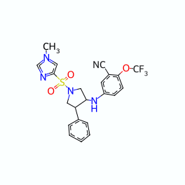 Cn1cnc(S(=O)(=O)N2CC(Nc3ccc(OC(F)(F)F)c(C#N)c3)C(c3ccccc3)C2)c1